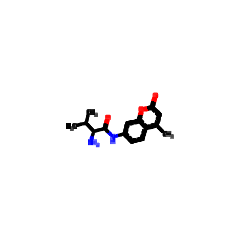 Cc1cc(=O)oc2cc(NC(=O)[C@@H](N)C(C)C)ccc12